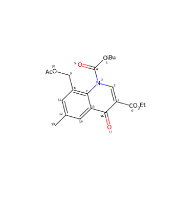 CCOC(=O)c1cn(C(=O)OCC(C)C)c2c(COC(C)=O)cc(C)cc2c1=O